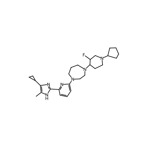 Cc1[nH]c(-c2cccc(N3CCCN(C4CCN(C5CCCC5)CC4F)CC3)n2)nc1C1CC1